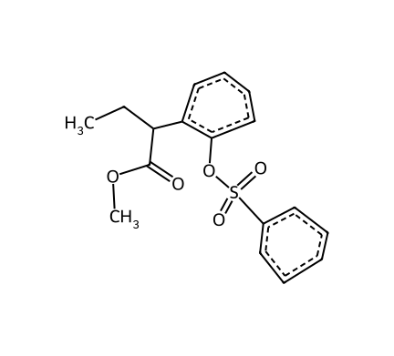 CCC(C(=O)OC)c1ccccc1OS(=O)(=O)c1ccccc1